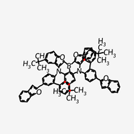 CC(C)(C)c1cc2c3c(c1)N(c1ccc(-c4cc5ccccc5o4)cc1-c1ccccc1)c1c(oc4ccc(C(C)(C)C)cc14)B3c1oc3ccc(C(C)(C)C)cc3c1N2c1ccc(-c2cc3ccccc3o2)cc1-c1ccccc1